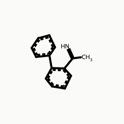 CC(=N)c1ccccc1-c1ccccc1